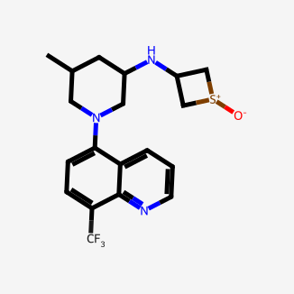 CC1CC(NC2C[S+]([O-])C2)CN(c2ccc(C(F)(F)F)c3ncccc23)C1